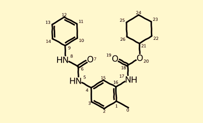 Cc1ccc(NC(=O)Nc2ccccc2)cc1NC(=O)OC1CCCCC1